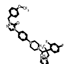 CC(N1CCN(c2ccc(-n3cnn(Cc4ccc(OC(F)(F)F)cc4)c3=O)cc2)CC1)C(C)(Cn1cncn1)c1ccc(F)cc1F